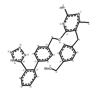 CCCc1nc(C)c(Cc2ccc(COC)cc2)c(OCc2ccc(-c3ccccc3-c3nnn[nH]3)cc2)n1